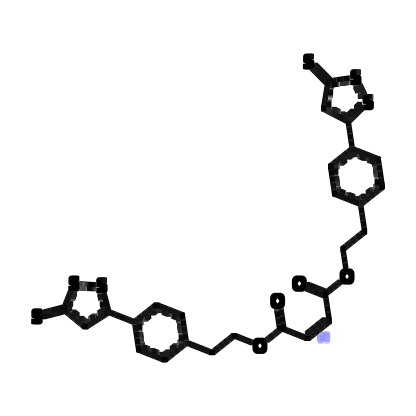 O=C(/C=C\C(=O)OCCc1ccc(-c2cc(=S)ss2)cc1)OCCc1ccc(-c2cc(=S)ss2)cc1